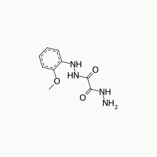 COc1ccccc1NNC(=O)C(=O)NN